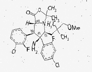 COCC(C)(C)C[C@@H]1N2[C@@H](C(=O)OC2(C)C)[C@H](c2cccc(Cl)c2F)[C@@]1(N)c1ccc(Cl)cc1F